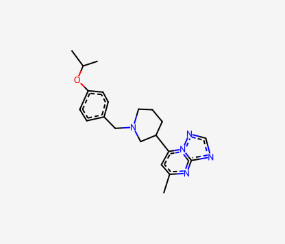 Cc1cc(C2CCCN(Cc3ccc(OC(C)C)cc3)C2)n2ncnc2n1